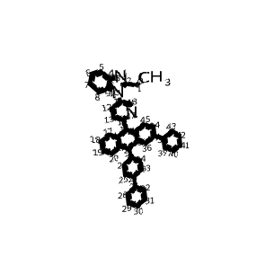 CCc1nc2ccccc2n1-c1ccc(-c2c3ccccc3c(-c3ccc(-c4ccccc4)cc3)c3cc(-c4ccccc4)ccc23)nc1